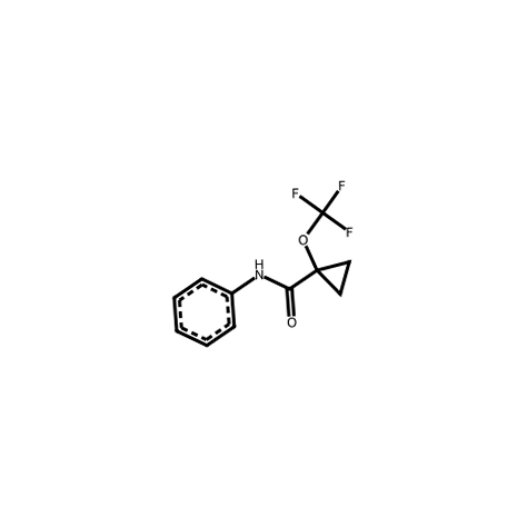 O=C(Nc1ccccc1)C1(OC(F)(F)F)CC1